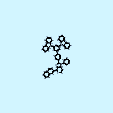 c1ccc(-n2c(-c3ccc(-c4cc(-n5c6ccccc6c6ccccc65)cc(-n5c6ccccc6c6ccccc65)c4)cc3)nc3c(-c4ccc5ccccc5c4)nccc32)cc1